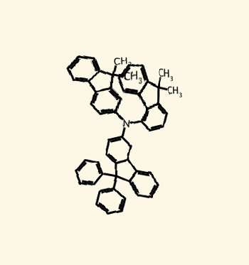 CC1(C)c2ccccc2-c2ccc(N(C3=CC=C4C(C3)c3ccccc3C4(c3ccccc3)c3ccccc3)c3cccc4c3-c3ccccc3C4(C)C)cc21